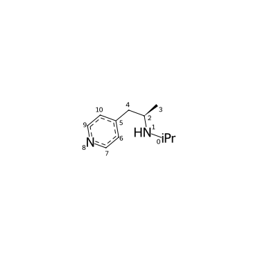 CC(C)N[C@H](C)Cc1ccncc1